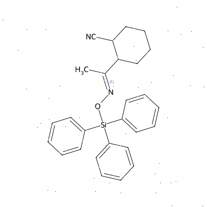 C/C(=N\O[Si](c1ccccc1)(c1ccccc1)c1ccccc1)C1CCCCC1C#N